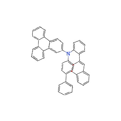 c1ccc(-c2ccc(N(c3ccc4c5ccccc5c5ccccc5c4c3)c3ccccc3-c3ccc4ccccc4c3)cc2)cc1